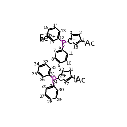 CC(=O)c1cc[c-](P(c2ccccc2)c2ccccc2)c1.CC(=O)c1cc[c-](P(c2ccccc2)c2ccccc2)c1.[Fe+2]